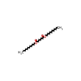 CCCCCCCCCCCCOC(=O)CCCCCC(=O)OCCCCCCCCCCCC